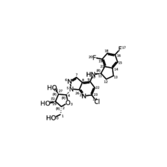 OC[C@H]1O[C@@H](n2ncc3c(N[C@@H]4CCc5cc(F)cc(F)c54)cc(Cl)nc32)[C@H](O)[C@@H]1O